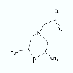 CCC(=O)CN1CC(C)NC(C)C1